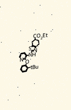 CCOC(=O)C1CCc2nc(Nc3cccnc3Oc3ccccc3C(C)(C)C)sc2C1